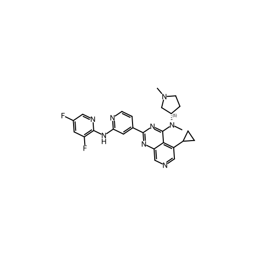 CN1CC[C@H](N(C)c2nc(-c3ccnc(Nc4ncc(F)cc4F)c3)nc3cncc(C4CC4)c23)C1